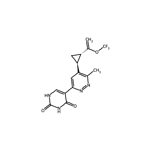 C=C(OC(F)(F)F)[C@H]1C[C@@H]1c1cc(-c2c[nH]c(=O)[nH]c2=O)nnc1C